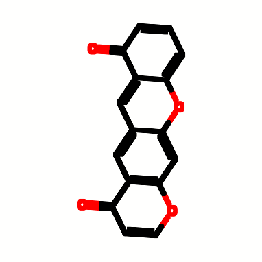 O=c1cccc2oc3cc4occc(=O)c4cc3cc1-2